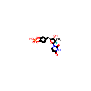 C[C@@]1(F)[C@H](O)[C@@H](Cc2ccc(OP(=O)(O)O)cc2)O[C@H]1n1ccc(=O)[nH]c1=O